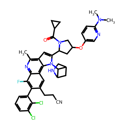 Cc1nc2c(F)c(-c3cccc(Cl)c3Cl)c(CCC#N)cc2c2c1cc(C1CC(Oc3ccc(N(C)C)nc3)CN1C(=O)C1CC1)n2C1C2CNC1C2